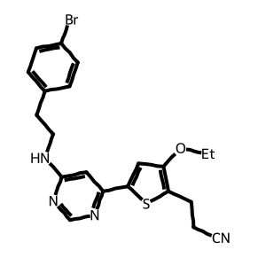 CCOc1cc(-c2cc(NCCc3ccc(Br)cc3)ncn2)sc1CCC#N